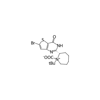 CC(C)(C)[N+]1(C(=O)[O-])CCCCC[C@H]1c1nc2cc(Br)sc2c(=O)[nH]1